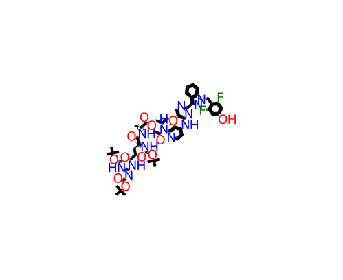 CC(=O)Nc1cc(Nc2nc(-c3nn(Cc4c(F)cc(O)cc4F)c4ccccc34)ncc2OCCCOC(=O)[C@H](C)NC(=O)[C@H](CCCN/C(=N/C(=O)OC(C)(C)C)NC(=O)OC(C)(C)C)NC(=O)OC(C)(C)C)ccn1